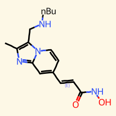 CCCCNCc1c(C)nc2cc(/C=C/C(=O)NO)ccn12